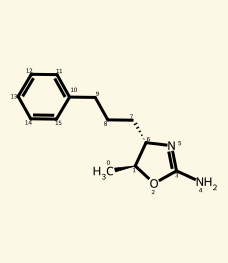 C[C@@H]1OC(N)=N[C@H]1CCCc1ccccc1